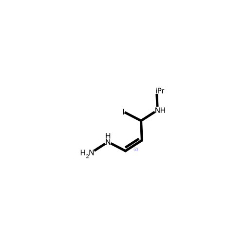 CC(C)NC(I)/C=C\NN